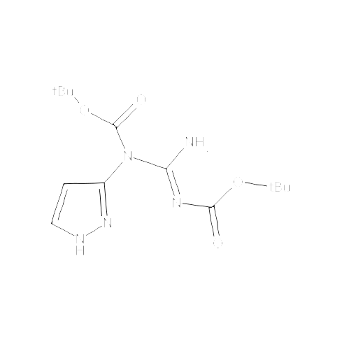 CC(C)(C)OC(=O)N=C(N)N(C(=O)OC(C)(C)C)c1cc[nH]n1